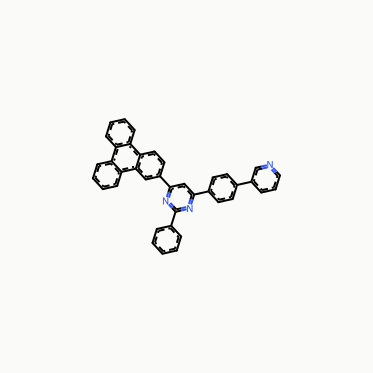 c1ccc(-c2nc(-c3ccc(-c4cccnc4)cc3)cc(-c3ccc4c5ccccc5c5ccccc5c4c3)n2)cc1